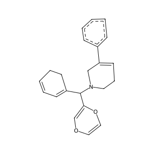 C1=CCCC(C(C2=COC=CO2)N2CCC=C(c3ccccc3)C2)=C1